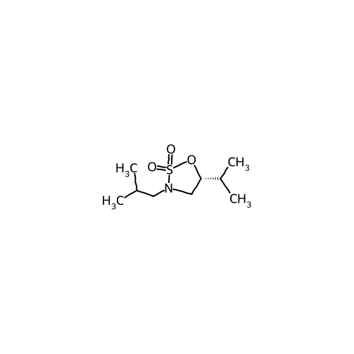 CC(C)CN1C[C@@H](C(C)C)OS1(=O)=O